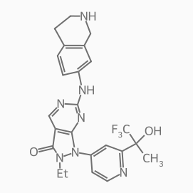 CCn1c(=O)c2cnc(Nc3ccc4c(c3)CNCC4)nc2n1-c1ccnc(C(C)(O)C(F)(F)F)c1